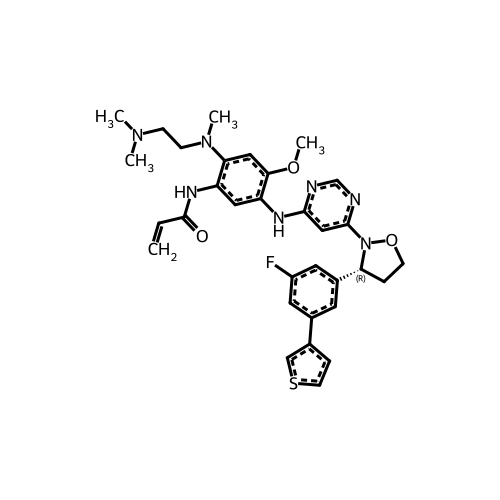 C=CC(=O)Nc1cc(Nc2cc(N3OCC[C@@H]3c3cc(F)cc(-c4ccsc4)c3)ncn2)c(OC)cc1N(C)CCN(C)C